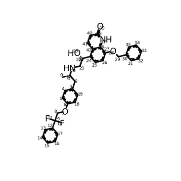 C[C@H](Cc1ccc(OCC(F)(F)c2ccccc2)cc1)NC[C@H](O)c1ccc(OCc2ccccc2)c2[nH]c(=O)ccc12